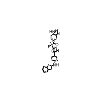 C[C@@](F)(C(=O)N1CCc2[nH]nnc2C1)c1nnc(-c2cnc(NC3Cc4ccccc4C3)nc2)o1